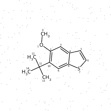 COc1cc2ccsc2cc1C(C)(C)C